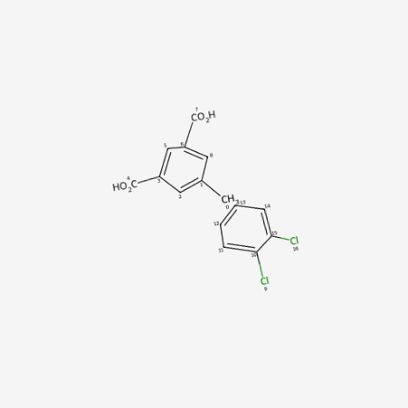 Cc1cc(C(=O)O)cc(C(=O)O)c1.Clc1ccccc1Cl